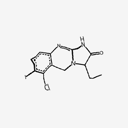 CCC1C(=O)NC2=Nc3ccc(I)c(Cl)c3CN21